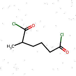 CC(CCCC(=O)Cl)C(=O)Cl